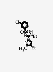 CCN/C(=N\S(=O)(=O)c1cccc(Cl)c1)N1CC(CC)C(C)=N1